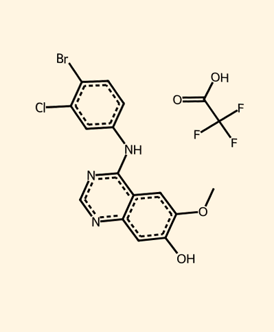 COc1cc2c(Nc3ccc(Br)c(Cl)c3)ncnc2cc1O.O=C(O)C(F)(F)F